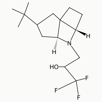 CC(C)(C)C1C[C@@H]2N(CC(O)C(F)(F)F)[C@H]3CCC32C1